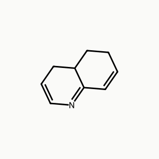 C1=CC2=NC=CCC2CC1